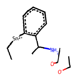 CC[O-].CC[O-].C[CH2][Sn+2][c]1ccccc1C(C)N